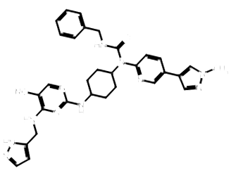 Cn1cc(-c2ccc(N(C(=O)NCc3ccccc3)C3CCC(Nc4ncc(C#N)c(NCc5ccn[nH]5)n4)CC3)nc2)cn1